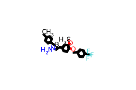 CCc1ccc(-c2bc(-c3ccc(OCc4ccc(C(F)(F)F)cc4)c(OC)c3)cn2N)cc1